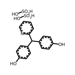 O=S(=O)(O)O.O=S(=O)(O)O.Oc1ccc(C(c2ccc(O)cc2)c2ccccn2)cc1